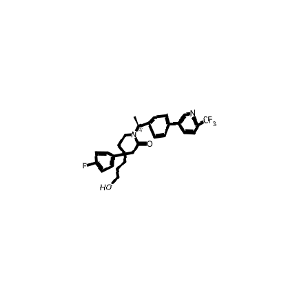 C[C@@H](c1ccc(-c2ccc(C(F)(F)F)nc2)cc1)N1CCC(CCCO)(c2ccc(F)cc2)CC1=O